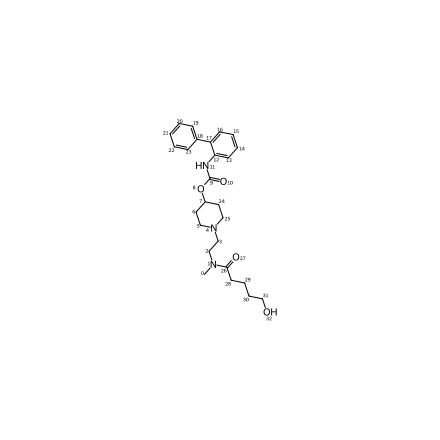 CN(CCN1CCC(OC(=O)Nc2ccccc2-c2ccccc2)CC1)C(=O)CCCCO